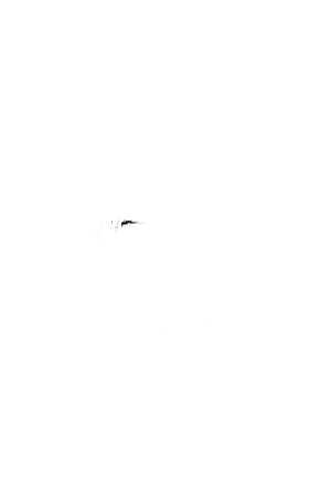 N[C@H](CCC(=O)O)CC1CCC1